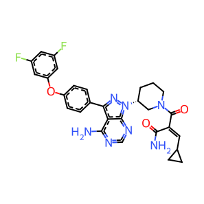 NC(=O)C(=CC1CC1)C(=O)N1CCC[C@@H](n2nc(-c3ccc(Oc4cc(F)cc(F)c4)cc3)c3c(N)ncnc32)C1